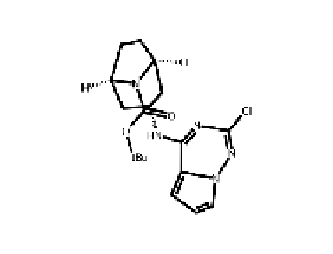 CC(C)(C)OC(=O)N1[C@@H]2CC[C@H]1C[C@H](Nc1nc(Cl)nn3cccc13)C2